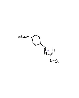 CSC1CCC(/C=N/C(=O)OC(C)(C)C)CC1